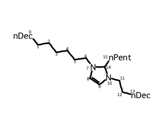 CCCCCCCCCCCCCCCCN1C=CN(CCCCCCCCCCCC)C1CCCCC